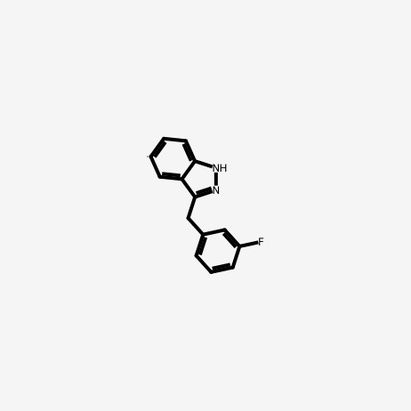 Fc1cccc(Cc2n[nH]c3cc[c]cc23)c1